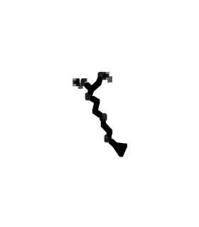 CCC(C)OCCOCCOC1CC1